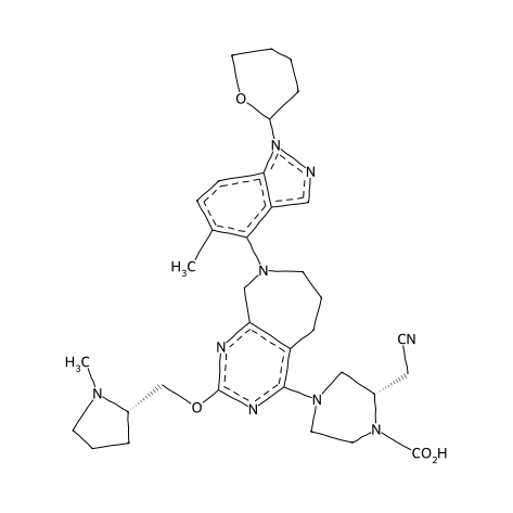 Cc1ccc2c(cnn2C2CCCCO2)c1N1CCCc2c(nc(OC[C@@H]3CCCN3C)nc2N2CCN(C(=O)O)[C@@H](CC#N)C2)C1